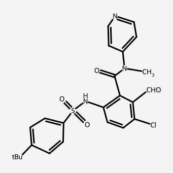 CN(C(=O)c1c(NS(=O)(=O)c2ccc(C(C)(C)C)cc2)ccc(Cl)c1C=O)c1ccncc1